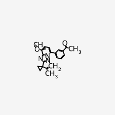 C=C(C)C1(c2nc3c(OC)ccc(-c4cccc(C(C)=O)c4)n3n2)CC1